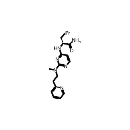 CC(C)C[C@H](Nc1ccnc(N(C)CCc2ccccn2)n1)C(N)=O